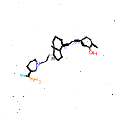 C=C1CC/C(=C/C=C2\CCCC3(C)C2CC[C@@H]3CCN2CCCC(C(F)P)C2)CC1O